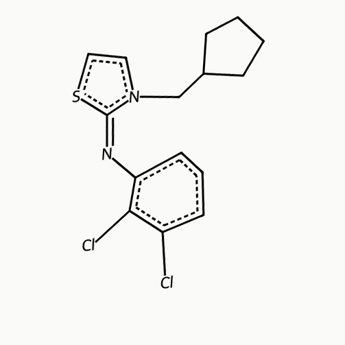 Clc1cccc(N=c2sccn2CC2CCCC2)c1Cl